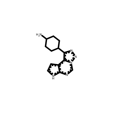 NC1CCC(c2nnn3cnc4[nH]ccc4c23)CC1